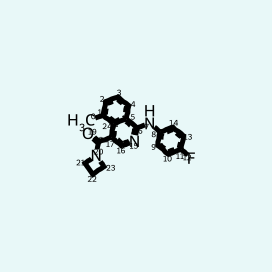 Cc1cccc2c(Nc3ccc(F)cc3)ncc(C(=O)N3CCC3)c12